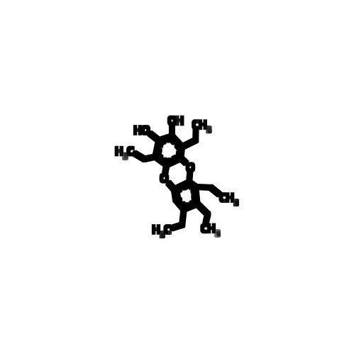 CCc1cc2c(c(CC)c1CC)Oc1c(CC)c(O)c(O)c(CC)c1O2